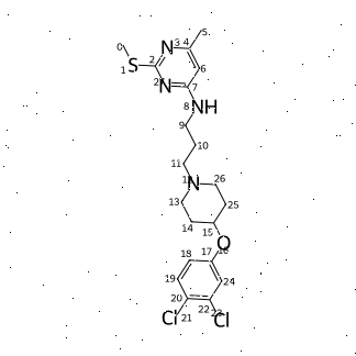 CSc1nc(C)cc(NCCCN2CCC(Oc3ccc(Cl)c(Cl)c3)CC2)n1